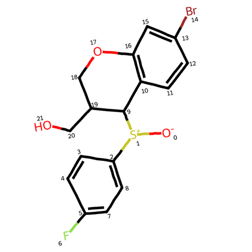 [O-][S+](c1ccc(F)cc1)C1c2ccc(Br)cc2OCC1CO